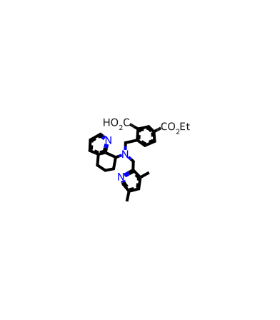 CCOC(=O)c1ccc(CN(Cc2ncc(C)cc2C)C2CCCc3cccnc32)c(C(=O)O)c1